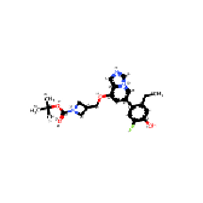 CCc1cc(O)c(F)cc1-c1cc(OCC2CN(C(=O)OC(C)(C)C)C2)c2cncn2c1